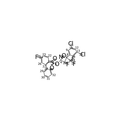 O=S(=O)(OC1=NOC(c2cc(Cl)cc(Cl)c2)(C(F)(F)F)C1)c1ccc(F)cc1-c1ccccc1